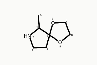 CC1NCCC12OCCO2